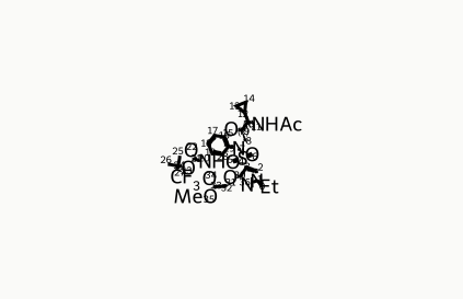 CCn1cc(S(=O)(=O)N2C[C@H]([C@H](NC(C)=O)C3CC3)Oc3ccc(NC(=O)OC(C)(C)C(F)(F)F)cc32)c(OCC(=O)OC)n1